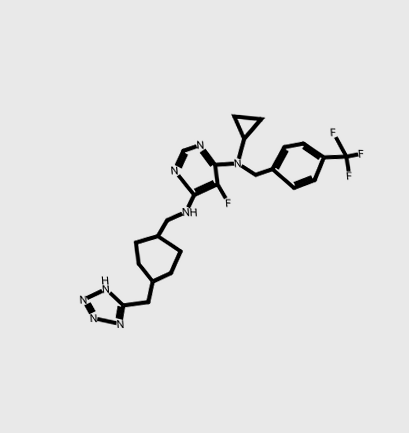 Fc1c(NCC2CCC(Cc3nnn[nH]3)CC2)ncnc1N(Cc1ccc(C(F)(F)F)cc1)C1CC1